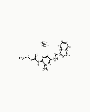 CCOC(=O)Nc1ccc(NCc2csc3ccccc23)cc1N.Cl.Cl